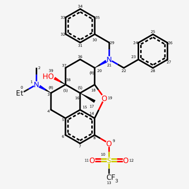 CCN(C)[C@@H]1Cc2ccc(OS(=O)(=O)C(F)(F)F)c3c2[C@@]2(C)C(O3)[C@H](N(Cc3ccccc3)Cc3ccccc3)CC[C@@]12O